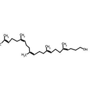 CC(C)=CCCC(C)=CCCC(C)=CCC/C(C)=C/CC/C(C)=C/CCCO